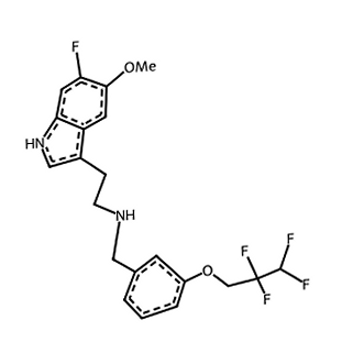 COc1cc2c(CCNCc3cccc(OCC(F)(F)C(F)F)c3)c[nH]c2cc1F